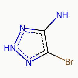 [NH]c1n[nH]nc1Br